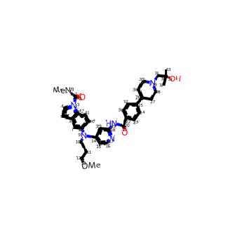 CNC(=O)n1ccc2cc(N(CCCOC)c3ccnc(NC(=O)c4ccc(C5CCN(CC(C)(C)O)CC5)cc4)c3)ccc21